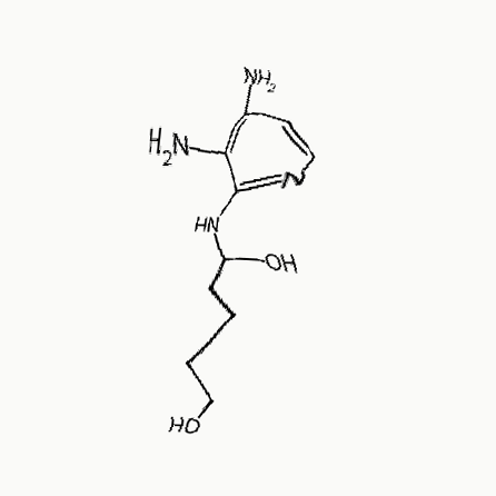 Nc1ccnc(NC(O)CCCCO)c1N